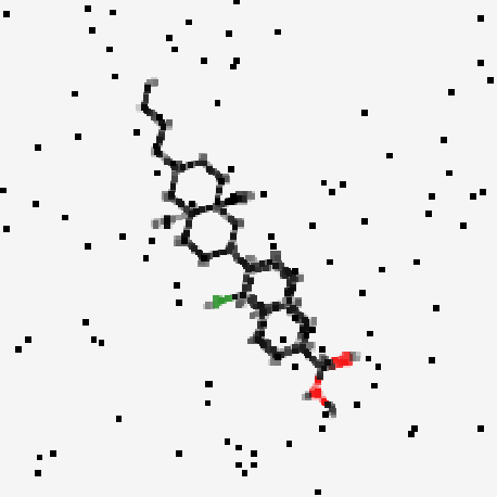 CCCCC1CC[C@@H]2CC(c3ccc4cc(C(=O)OC)ccc4c3F)CC[C@H]2C1